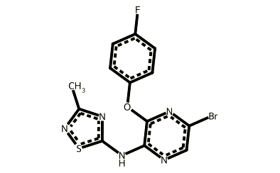 Cc1nsc(Nc2ncc(Br)nc2Oc2ccc(F)cc2)n1